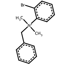 C[N+](C)(Cc1ccccc1)c1ccccc1Br